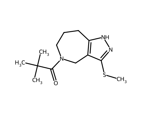 CSc1n[nH]c2c1CN(C(=O)C(C)(C)C)CCC2